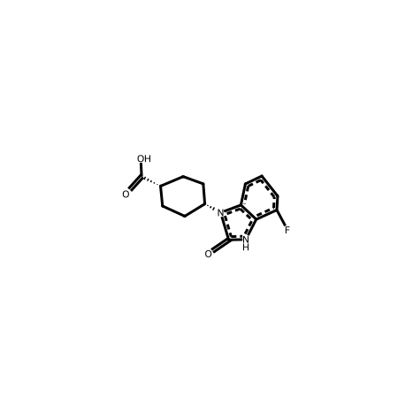 O=c1[nH]c2c(F)cccc2n1[C@H]1CC[C@@H](C(=O)O)CC1